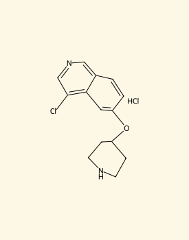 Cl.Clc1cncc2ccc(OC3CCNCC3)cc12